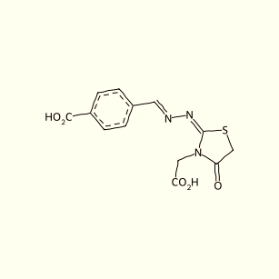 O=C(O)CN1C(=O)CS/C1=N/N=C/c1ccc(C(=O)O)cc1